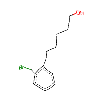 OCCCCCc1ccccc1Br